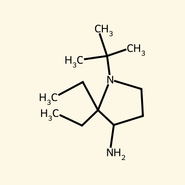 CCC1(CC)C(N)CCN1C(C)(C)C